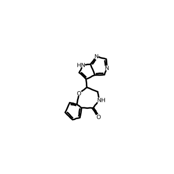 O=C1NCC(c2c[nH]c3ncncc23)Oc2ccccc21